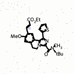 CCOC(=O)/C=C/c1cc2c(cc1OC)CCn1c(C(=O)N(C)C(C)(C)C)nc(-c3cccs3)c1-2